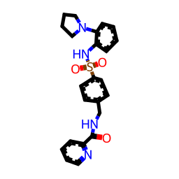 O=C(NCc1ccc(S(=O)(=O)Nc2ccccc2N2CCCC2)cc1)c1ccccn1